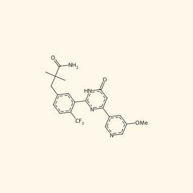 COc1cncc(-c2cc(=O)[nH]c(-c3cc(CC(C)(C)C(N)=O)ccc3C(F)(F)F)n2)c1